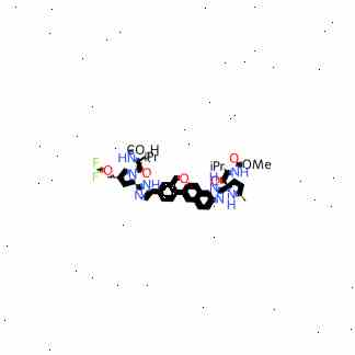 COC(=O)N[C@H](C(=O)[C@@]1(c2nc3ccc4cc5c(cc4c3[nH]2)OCc2cc(-c3cnc([C@@H]4C[C@H](COC(F)F)CN4C(=O)[C@@H](NC(=O)O)C(C)C)[nH]3)ccc2-5)CC[C@H](C)N1)C(C)C